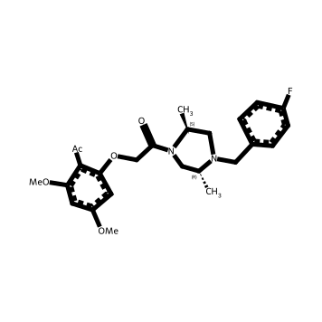 COc1cc(OC)c(C(C)=O)c(OCC(=O)N2C[C@@H](C)N(Cc3ccc(F)cc3)C[C@@H]2C)c1